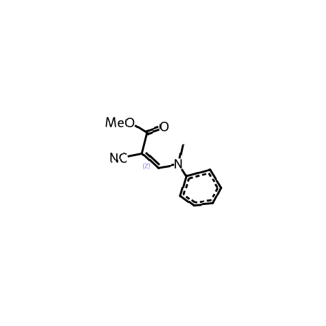 COC(=O)/C(C#N)=C\N(C)c1ccccc1